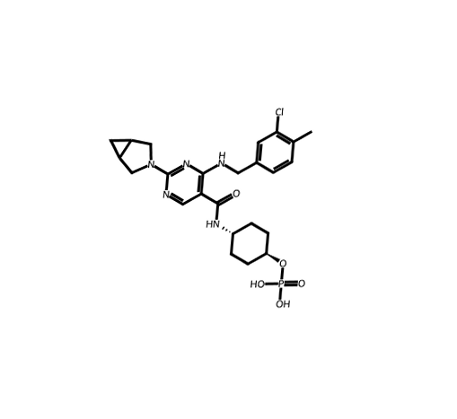 Cc1ccc(CNc2nc(N3CC4CC4C3)ncc2C(=O)N[C@H]2CC[C@H](OP(=O)(O)O)CC2)cc1Cl